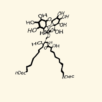 CCCCCCCCCCCCCCCCCCC(O)C(=O)N[C@@H](COP(=O)(O)O[C@H]1C(O)C(O)C(O)[C@@H](O)C1O[C@H]1O[C@H](CO)[C@@H](O)C(O)C1O)[C@H](O)CCCCCCCCCCCCCCCCC